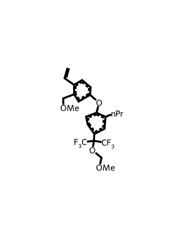 C=Cc1ccc(Oc2ccc(C(OCOC)(C(F)(F)F)C(F)(F)F)cc2CCC)cc1COC